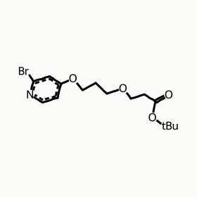 CC(C)(C)OC(=O)CCOCCCOc1ccnc(Br)c1